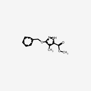 COC(=O)c1[nH]nc(OCc2ccccc2)c1C